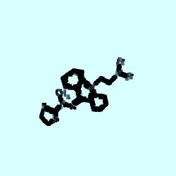 CCN(CC)CCn1c2ccccc2c(=NN(C)C2=NCCS2)c2ccccc21